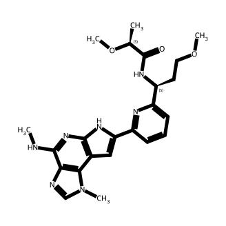 CNc1nc2[nH]c(-c3cccc([C@H](CCOC)NC(=O)[C@H](C)OC)n3)cc2c2c1ncn2C